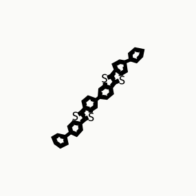 c1ccc(-c2ccc3c(c2)sc2c4ccc(-c5ccc6c(c5)sc5c7ccc(-c8ccccc8)cc7sc65)cc4sc32)cc1